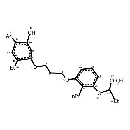 CCCc1c(OCCCOc2cc(O)c(C(C)=O)cc2CC)cccc1OC(CC)C(=O)OCC